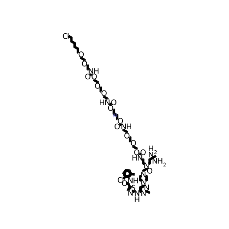 Cc1nc(Nc2ncc(C(=O)Nc3c(C)cccc3Cl)s2)cc(N2CCN(CC(=O)N(CCNC(=O)OCCOCCOCCNC(=O)OC/C=C/COC(=O)NCCOCCOCCOC(=O)NCCOCCOCCCCCCCl)CCC(C)(N)N)CC2)n1